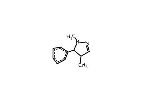 CC1C=NN(C)C1c1ccccc1